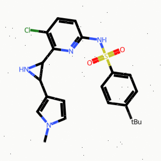 Cn1ccc(C2NC2c2nc(NS(=O)(=O)c3ccc(C(C)(C)C)cc3)ccc2Cl)c1